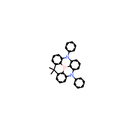 CC1(C)c2cccc3c2B2c4c(cccc4N(c4ccccc4)c4cccc1c42)N3c1ccccc1